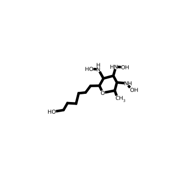 CC1OC(CCCCCCO)C(NO)C(NO)C1NO